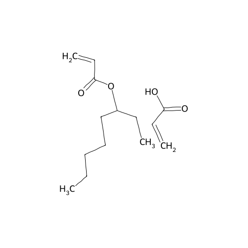 C=CC(=O)O.C=CC(=O)OC(CC)CCCCC